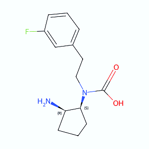 N[C@@H]1CCC[C@@H]1N(CCc1cccc(F)c1)C(=O)O